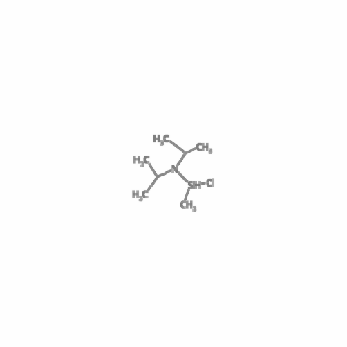 CC(C)N(C(C)C)[SiH](C)Cl